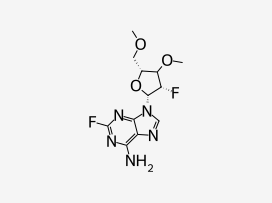 COC[C@H]1O[C@@H](n2cnc3c(N)nc(F)nc32)[C@@H](F)C1OC